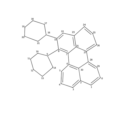 c1cc2cccc3c4c(C5CCCCC5)c(C5CCCCC5)cc5cccc(c(c1)c23)c54